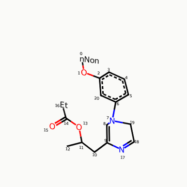 CCCCCCCCCOc1cccc(N2C=C(CC(C)OC(=O)CC)N=CC2)c1